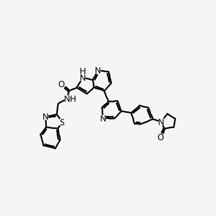 O=C(NCc1nc2ccccc2s1)c1cc2c(-c3cncc(-c4ccc(N5CCCC5=O)cc4)c3)ccnc2[nH]1